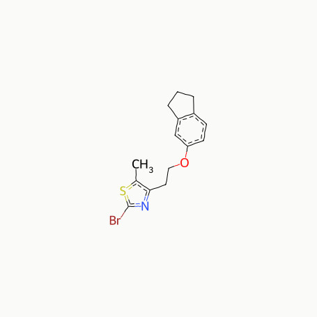 Cc1sc(Br)nc1CCOc1ccc2c(c1)CCC2